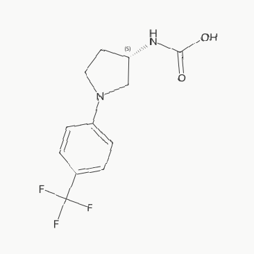 O=C(O)N[C@H]1CCN(c2ccc(C(F)(F)F)cc2)C1